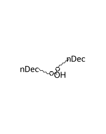 CCCCCCCCCCCCCCCCc1ccc(C(O)c2ccc(CCCCCCCCCCCCCCCC)cc2)cc1